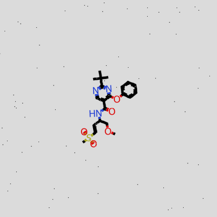 COCC(C=CS(C)(=O)=O)NC(=O)c1cnc(C(C)(C)C)nc1Oc1ccccc1